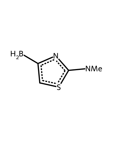 Bc1csc(NC)n1